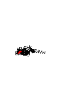 COc1ccc(CCn2cnc3cc(N=C(N[C@H]4C[C@@H]5C[C@@H]([C@H]4C)C5(C)C)N4CC[C@@H](N(C)C)C4)ccc3c2=O)c(F)c1